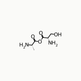 C[C@H](N)C(=O)OC(=O)[C@@H](N)CO